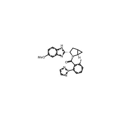 COc1ccc2[nH]c([C@@H]3CC4C[C@H]4N3C(=O)c3c(F)cccc3-n3nccn3)nc2c1